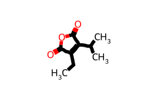 CCC1=C(C(C)C)C(=O)OC1=O